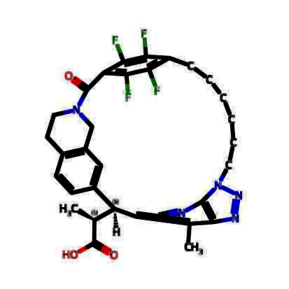 Cc1c2cnc3c1nnn3CCCCCCc1c(F)c(F)c(c(F)c1F)C(=O)N1CCc3ccc(cc3C1)[C@@H]2[C@H](C)C(=O)O